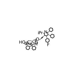 CC(C)c1nc(-c2ccccc2)c(-c2ccccc2)c(-c2ccc(F)cc2)c1C#CCO[PH](=O)CC(CC(=O)O)O[Si](c1ccccc1)(c1ccccc1)C(C)(C)C